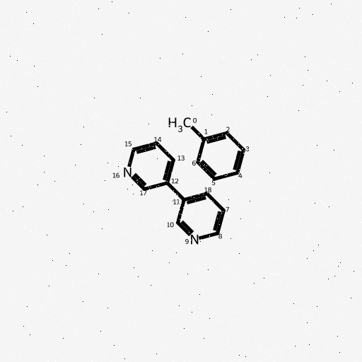 Cc1ccccc1.c1cncc(-c2cccnc2)c1